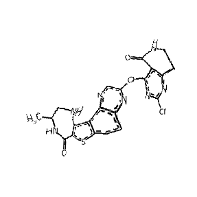 CC1CNc2c(sc3ccc4nc(Oc5nc(Cl)nc6c5C(=O)NCC6)cnc4c23)C(=O)N1